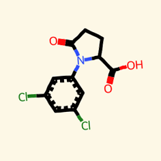 O=C(O)C1CCC(=O)N1c1cc(Cl)cc(Cl)c1